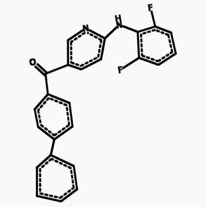 O=C(c1ccc(-c2ccccc2)cc1)c1ccc(Nc2c(F)cccc2F)nc1